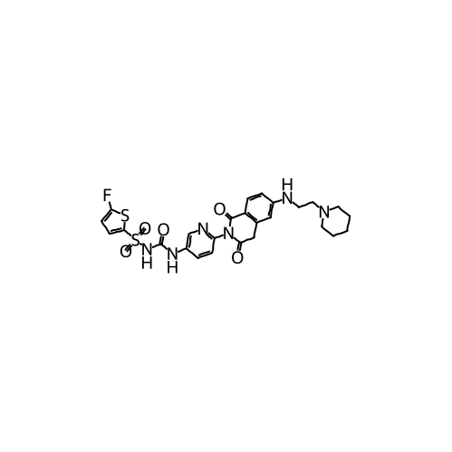 O=C(Nc1ccc(N2C(=O)Cc3cc(NCCN4CCCCC4)ccc3C2=O)nc1)NS(=O)(=O)c1ccc(F)s1